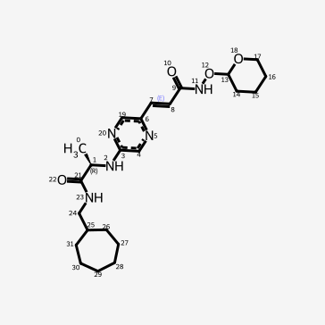 C[C@@H](Nc1cnc(/C=C/C(=O)NOC2CCCCO2)cn1)C(=O)NCC1CCCCCC1